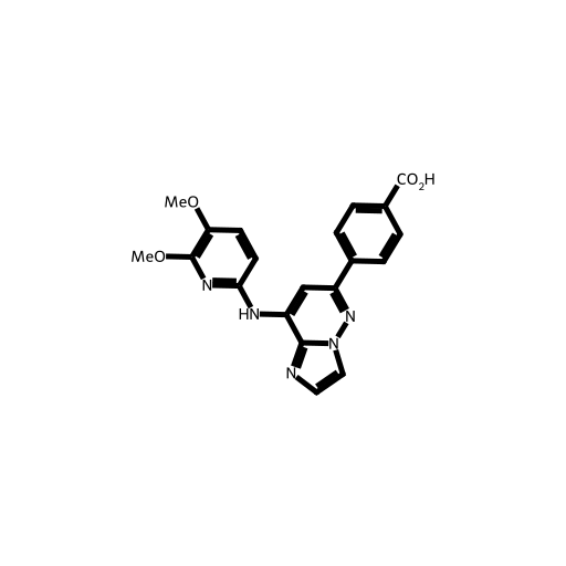 COc1ccc(Nc2cc(-c3ccc(C(=O)O)cc3)nn3ccnc23)nc1OC